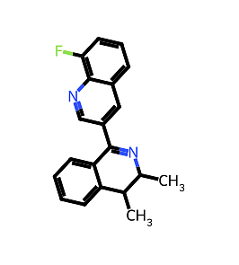 CC1N=C(c2cnc3c(F)cccc3c2)c2ccccc2C1C